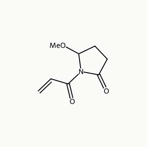 C=CC(=O)N1C(=O)CCC1OC